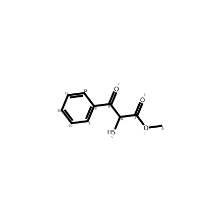 COC(=O)C(S)C(=O)c1ccccc1